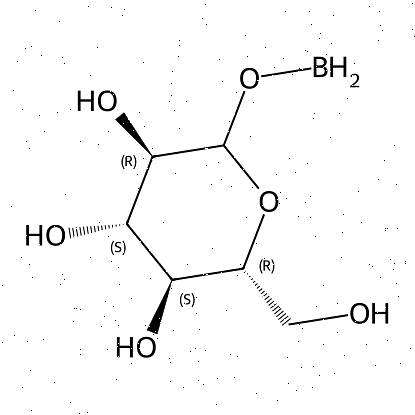 BOC1O[C@H](CO)[C@@H](O)[C@H](O)[C@H]1O